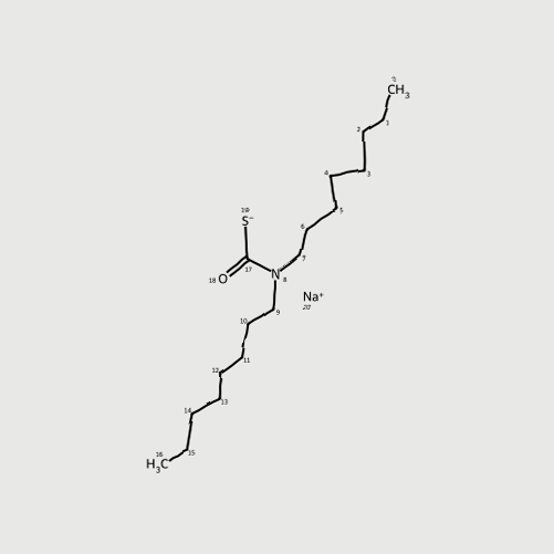 CCCCCCCCN(CCCCCCCC)C(=O)[S-].[Na+]